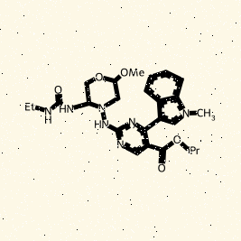 CCNC(=O)NC1COC(OC)CN1Nc1ncc(C(=O)OC(C)C)c(-c2cn(C)c3ccccc23)n1